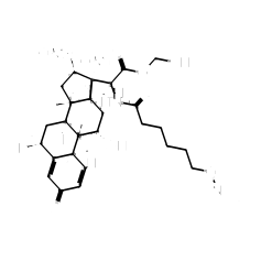 CO[C@@H]1C[C@H]2[C@@H]3C[C@H](F)C4=CC(=O)C=C[C@]4(C)[C@@]3(F)[C@@H](O)C[C@]2(C)[C@]1(OC)C(NC(=O)CCCCCO[N+](=O)[O-])C(=O)OCC=O